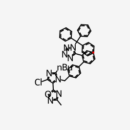 CCCCc1nc(Cl)c(-c2nc(C)no2)n1Cc1ccc(-c2ccccc2-c2nnnn2C(c2ccccc2)(c2ccccc2)c2ccccc2)cc1